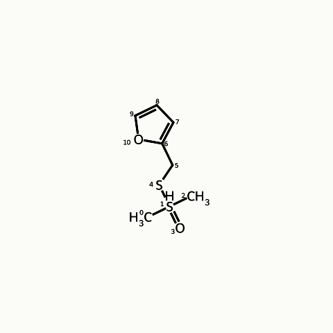 C[SH](C)(=O)SCc1ccco1